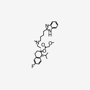 COCC(=O)O[C@]1(CCN(C)CCCCc2nc3ccccc3[nH]2)CCc2cc(F)ccc2[C@@H]1C(C)C